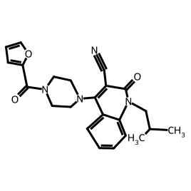 CC(C)Cn1c(=O)c(C#N)c(N2CCN(C(=O)c3ccco3)CC2)c2ccccc21